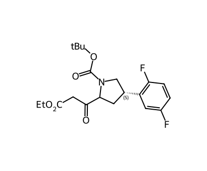 CCOC(=O)CC(=O)C1C[C@@H](c2cc(F)ccc2F)CN1C(=O)OC(C)(C)C